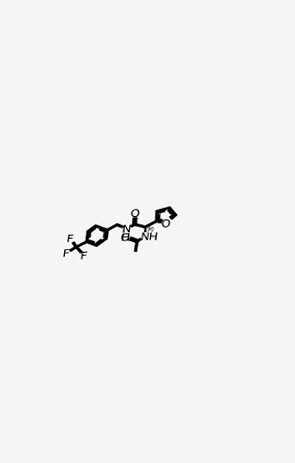 CC(=O)N[C@@H](C(=O)NCc1ccc(C(F)(F)F)cc1)c1ccco1